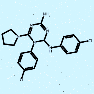 NC1=NC(Nc2ccc(Cl)cc2)N(c2ccc(Cl)cc2)C(N2CCCC2)=N1